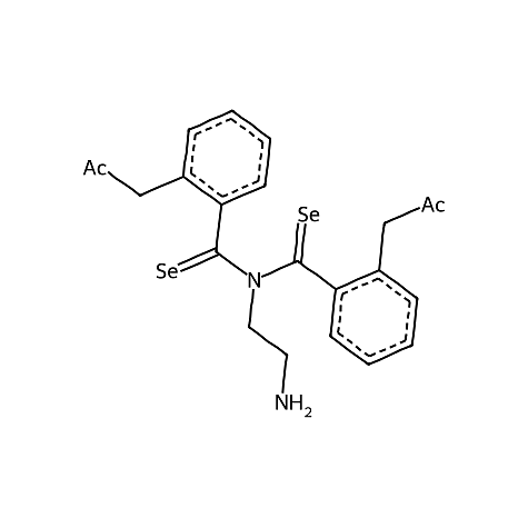 CC(=O)Cc1ccccc1C(=[Se])N(CCN)C(=[Se])c1ccccc1CC(C)=O